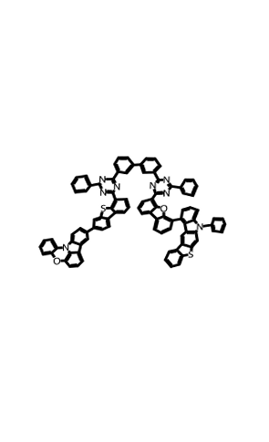 c1ccc(-c2nc(-c3cccc(-c4cccc(-c5nc(-c6ccccc6)nc(-c6cccc7c6sc6cc(-c8ccc9c(c8)c8cccc%10c8n9-c8ccccc8O%10)ccc67)n5)c4)c3)nc(-c3cccc4c3oc3c(-c5cccc6c5c5cc7c(cc5n6-c5ccccc5)sc5ccccc57)cccc34)n2)cc1